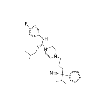 CC(C)CN=C(Nc1ccc(F)cc1)N1C=CN(CCCC(C#N)(c2ccccc2)C(C)C)CC1